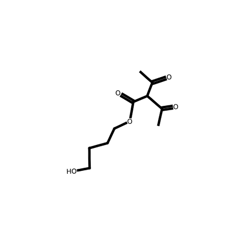 CC(=O)C(C(C)=O)C(=O)OCCCCO